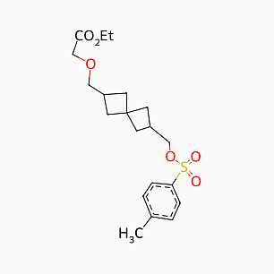 CCOC(=O)COCC1CC2(C1)CC(COS(=O)(=O)c1ccc(C)cc1)C2